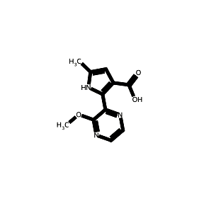 COc1nccnc1-c1[nH]c(C)cc1C(=O)O